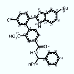 CCCC(NC(=O)c1ccc(-c2cc(Cl)ccc2-c2nc3cc(C(C)(C)C)ccc3[nH]2)c(C(=O)O)c1)c1ccccc1